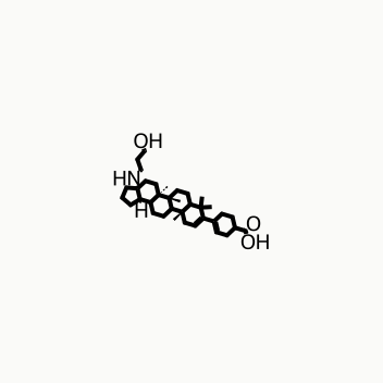 CC1(C)C(C2=CCC(C(=O)O)CC2)=CC[C@@]2(C)C1CC[C@]1(C)C2CCC2[C@H]3CCCC3(NCCCO)CC[C@]21C